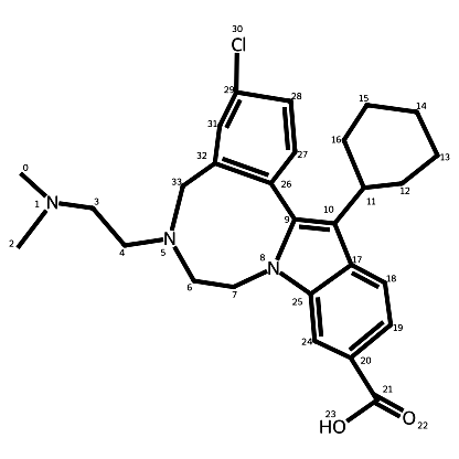 CN(C)CCN1CCn2c(c(C3CCCCC3)c3ccc(C(=O)O)cc32)-c2ccc(Cl)cc2C1